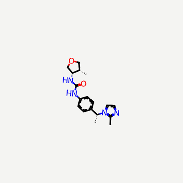 Cc1nccn1[C@H](C)c1ccc(NC(=O)N[C@@H]2COC[C@@H]2C)cc1